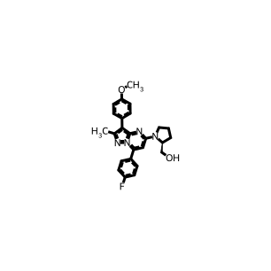 COc1ccc(-c2c(C)nn3c(-c4ccc(F)cc4)cc(N4CCC[C@H]4CO)nc23)cc1